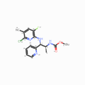 C[C@H](NC(=O)OC(C)(C)C)[C@H](Nc1nc(Cl)c(C#N)cc1F)c1ccccn1